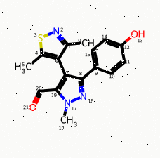 Cc1nsc(C)c1-c1c(-c2ccc(O)cc2)nn(C)c1C=O